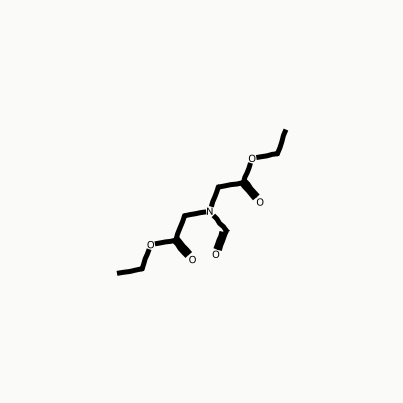 CCOC(=O)CN([C]=O)CC(=O)OCC